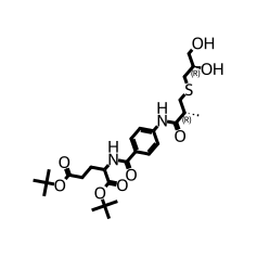 C[C@@H](CSC[C@H](O)CO)C(=O)Nc1ccc(C(=O)NC(CCC(=O)OC(C)(C)C)C(=O)OC(C)(C)C)cc1